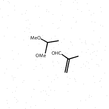 C=C(C)C=O.COC(C)OC